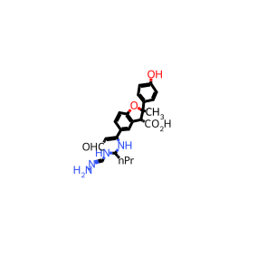 CCCC(NC=NN)NC(=CC=O)c1ccc2c(c1)C(C(=O)O)C(C)(c1ccc(O)cc1)O2